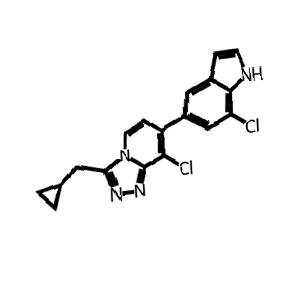 Clc1cc(-c2ccn3c(CC4CC4)nnc3c2Cl)cc2cc[nH]c12